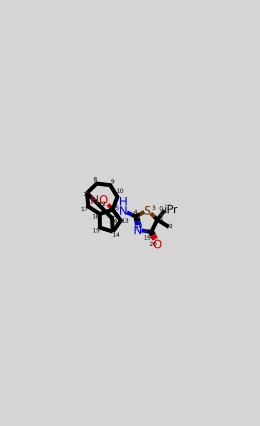 CC(C)C1(C)SC(N[C@H]2C3CCCC4(O)CC2CC4C3)=NC1=O